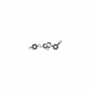 N#Cc1cccc(N2CCN3C[C@@H](COc4ccc(F)cc4)C[C@H]3C2)c1